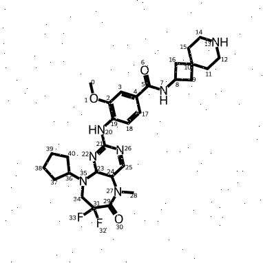 COc1cc(C(=O)NC2CC3(CCNCC3)C2)ccc1NC1=NC2C(C=N1)N(C)C(=O)C(F)(F)CN2C1CCCC1